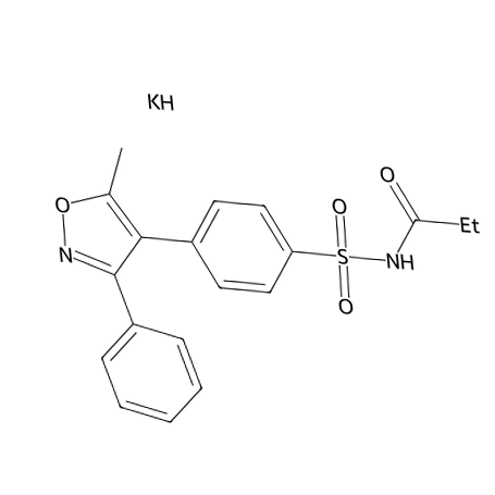 CCC(=O)NS(=O)(=O)c1ccc(-c2c(-c3ccccc3)noc2C)cc1.[KH]